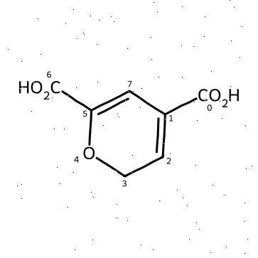 O=C(O)C1=CCOC(C(=O)O)=C1